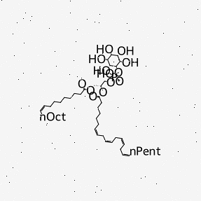 CCCCC/C=C\C/C=C\C/C=C\C/C=C\CCCCCC(=O)O[C@H](COC(=O)CCCCCCC/C=C\CCCCCCCC)COP(=O)(O)OC1C(O)C(O)C(O)[C@@H](O)C1O